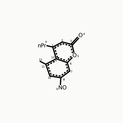 CCCc1cc(=O)oc2cc(N=O)cc(C)c12